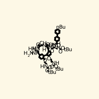 CCCCc1ccc(-c2ccc(C(=O)N[C@@H](CNC(=O)OC(C)(C)C)C(=O)N(C)[C@@H]3C(=O)N[C@@H](C)C(=O)N[C@H](C(=N)NN)Cc4ccc(OCCNC(=O)OC(C)(C)C)c(c4)-c4cc3ccc4OCCNC(=O)OC(C)(C)C)cc2)cc1